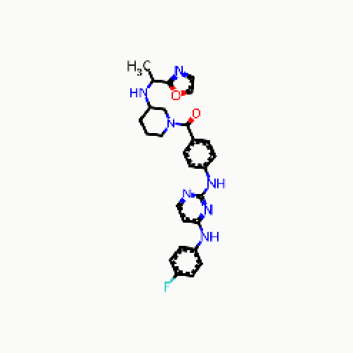 CC(NC1CCCN(C(=O)c2ccc(Nc3nccc(Nc4ccc(F)cc4)n3)cc2)C1)c1ncco1